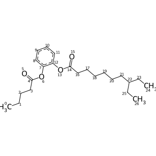 CCCCC(=O)Oc1ccccc1OC(=O)CCCCCCC(CC)CC